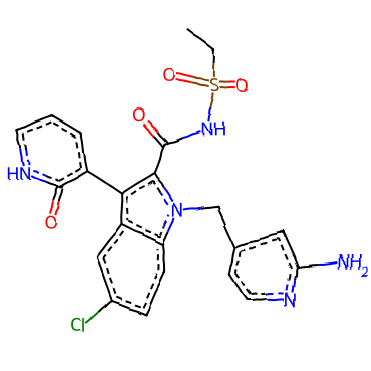 CCS(=O)(=O)NC(=O)c1c(-c2ccc[nH]c2=O)c2cc(Cl)ccc2n1Cc1ccnc(N)c1